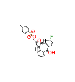 Cc1ccc(S(=O)(=O)OC[C@H]2C[C@@H]3c4ccccc4[C@@H](O)c4ccc(F)cc4[C@H]3O2)cc1